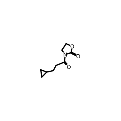 O=C(CCC1CC1)N1CCOC1=O